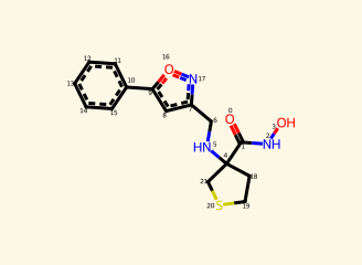 O=C(NO)C1(NCc2cc(-c3ccccc3)on2)CCSC1